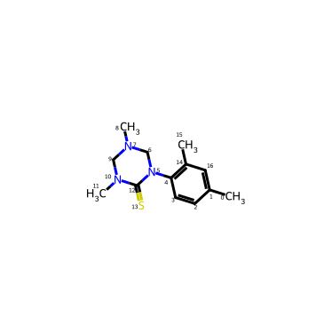 Cc1ccc(N2CN(C)CN(C)C2=S)c(C)c1